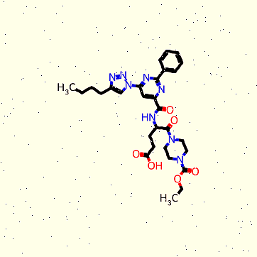 CCCCc1cn(-c2cc(C(=O)NC(CCC(=O)O)C(=O)N3CCN(C(=O)OCC)CC3)nc(-c3ccccc3)n2)nn1